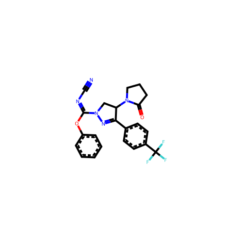 N#CN=C(Oc1ccccc1)N1CC(N2CCCC2=O)C(c2ccc(C(F)(F)F)cc2)=N1